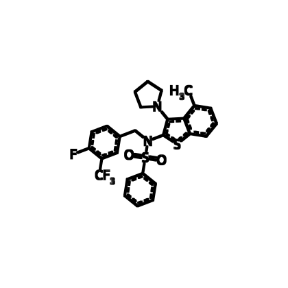 Cc1cccc2sc(N(Cc3ccc(F)c(C(F)(F)F)c3)S(=O)(=O)c3ccccc3)c(N3CCCC3)c12